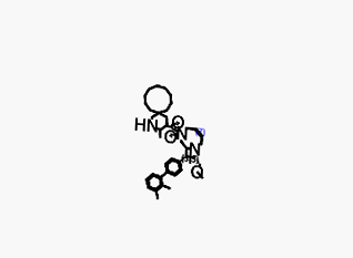 COC[C@@H]1[C@@H](c2ccc(-c3cccc(C)c3C)cc2)C2CN(S(=O)(=O)C3CC4(CCCCCCCCC4)CNC3C)C/C=C\CN21